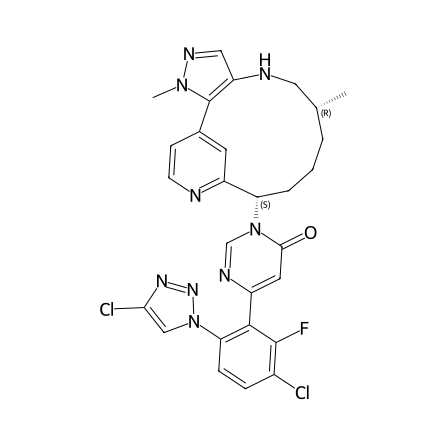 C[C@@H]1CCC[C@H](n2cnc(-c3c(-n4cc(Cl)nn4)ccc(Cl)c3F)cc2=O)c2cc(ccn2)-c2c(cnn2C)NC1